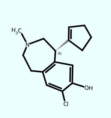 CN1CCc2cc(Cl)c(O)cc2[C@@H](C2=CCCC2)C1